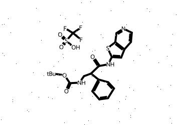 CC(C)(C)OC(=O)NCC(C(=O)Nc1cc2ccncc2s1)c1ccccc1.O=S(=O)(O)C(F)(F)F